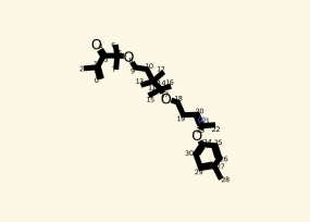 C=C(C)C(=O)C(C)(C)OCCC(C)(C)C(C)(C)OCC/C=C(/C)Oc1ccc(C)cc1